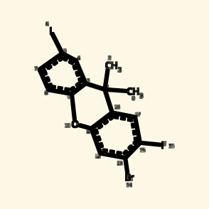 CC1(C)c2cc(I)ccc2Oc2cc(Br)c(F)cc21